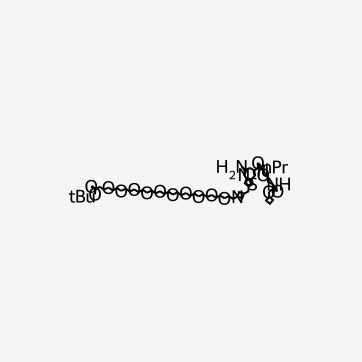 CCCN(OCCNC(=O)OC1CCC1)C(=O)C1=Cc2sc(CC3CN(CCOCCOCCOCCOCCOCCOCCOCCOCCOCCOCCC(=O)OC(C)(C)C)C3)cc2N=C(N)C1